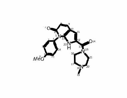 COc1ccc(-n2c(=O)ccc3cc(C(=O)N4CCN(C)CC4)[nH]c32)cc1